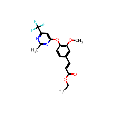 CCOC(=O)C=Cc1ccc(Oc2cc(C(F)(F)F)nc(C)n2)c(OC)c1